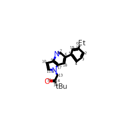 CCc1cccc(-c2cnc3ccn(CC(=O)C(C)(C)C)c3c2)c1